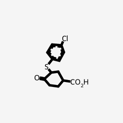 O=C(O)C1CCC(=O)C(Sc2ccc(Cl)cc2)C1